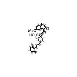 COc1ccc2ncc(Cl)c(C(F)CCC3(CC(=O)O)CCN(CCCc4c(F)cccc4F)CC3)c2c1